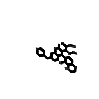 COC(=O)[C@@H](OC(C)(C)C)c1c(C)nc2cc(Cc3ccncc3)ccc2c1-c1ccc2c(c1Cl)NCCO2